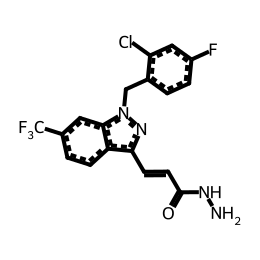 NNC(=O)/C=C/c1nn(Cc2ccc(F)cc2Cl)c2cc(C(F)(F)F)ccc12